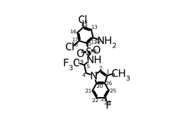 Cc1cn(CC(NS(=O)(=O)c2c(N)cc(Cl)cc2Cl)C(F)(F)F)c2ccc(F)cc12